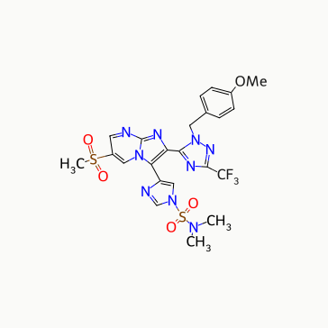 COc1ccc(Cn2nc(C(F)(F)F)nc2-c2nc3ncc(S(C)(=O)=O)cn3c2-c2cn(S(=O)(=O)N(C)C)cn2)cc1